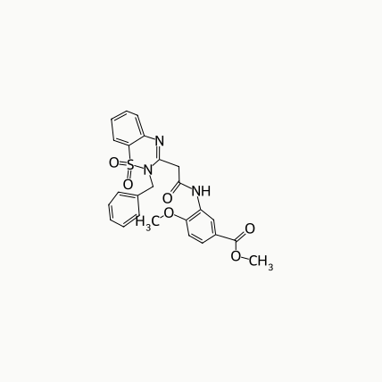 COC(=O)c1ccc(OC)c(NC(=O)CC2=Nc3ccccc3S(=O)(=O)N2Cc2ccccc2)c1